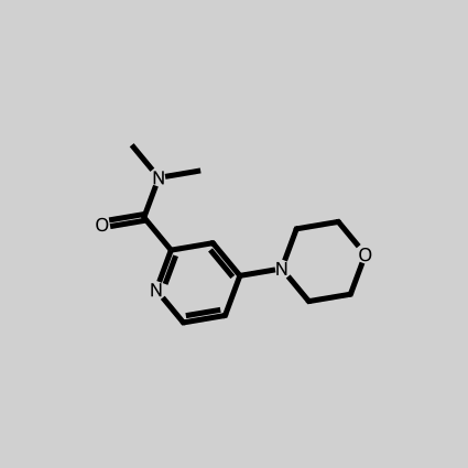 CN(C)C(=O)c1cc(N2CCOCC2)ccn1